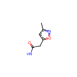 Cc1cc(CC([NH])=O)on1